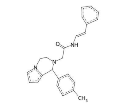 Cc1ccc(C2c3cccn3CCN2CC(=O)NC=Cc2ccccc2)cc1